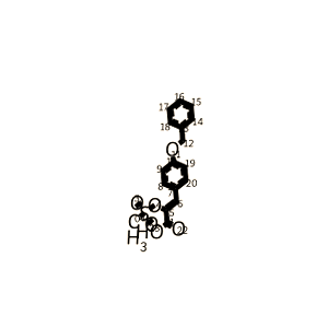 CS(=O)(=O)OC(=Cc1ccc(OCc2ccccc2)cc1)C(=O)O